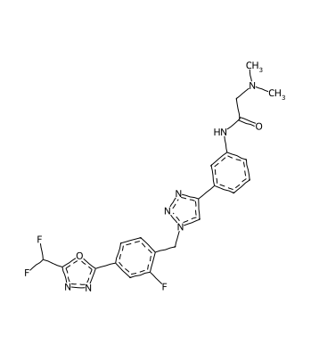 CN(C)CC(=O)Nc1cccc(-c2cn(Cc3ccc(-c4nnc(C(F)F)o4)cc3F)nn2)c1